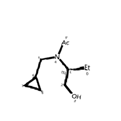 CC[C@@H](CO)N(CC1CC1)C(C)=O